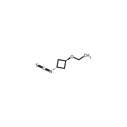 CCO[C@H]1C[C@H](N=C=S)C1